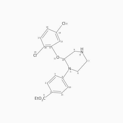 CCOC(=O)c1ccc(N2CCNCC2Oc2cc(Cl)ccc2Cl)cc1